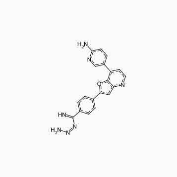 N=C(/N=N\N)c1ccc(-c2cc3nccc(-c4ccc(N)nc4)c3o2)cc1